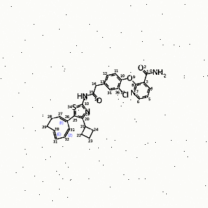 NC(=O)c1cccnc1Oc1ccc(CC(=O)Nc2nc(C3CCC3)c(C3=C/CC/C=C/C=C\3)s2)cc1Cl